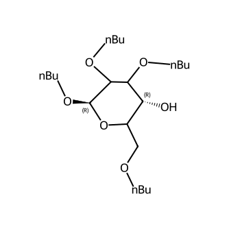 CCCCOCC1O[C@@H](OCCCC)C(OCCCC)C(OCCCC)[C@@H]1O